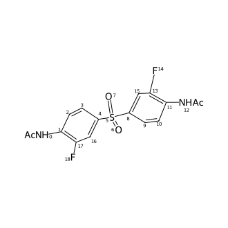 CC(=O)Nc1ccc(S(=O)(=O)c2ccc(NC(C)=O)c(F)c2)cc1F